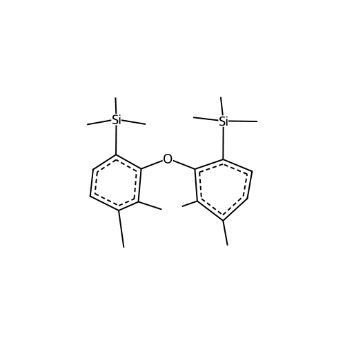 Cc1ccc([Si](C)(C)C)c(Oc2c([Si](C)(C)C)ccc(C)c2C)c1C